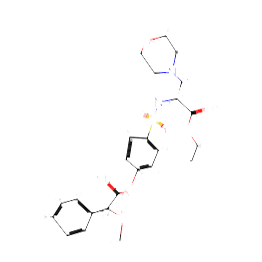 CCOC(=O)[C@H](CN1CCOCC1)NS(=O)(=O)c1ccc(OC(=O)C(OC)c2ccccc2)cc1